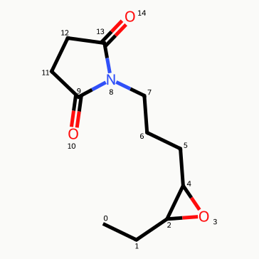 CCC1OC1CCCN1C(=O)CCC1=O